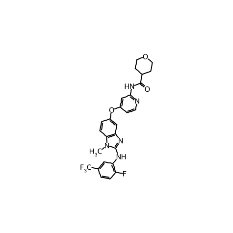 Cn1c(Nc2cc(C(F)(F)F)ccc2F)nc2cc(Oc3ccnc(NC(=O)C4CCOCC4)c3)ccc21